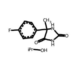 CC(C)O.CC1(c2ccc(F)cc2)NC(=O)NC1=O